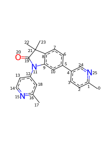 Cc1ccc(-c2ccc3c(c2)N(c2ccnc(C)c2)C(=O)C3(C)C)cn1